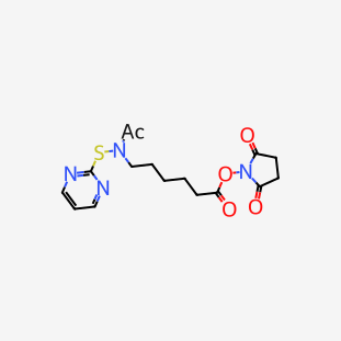 CC(=O)N(CCCCCC(=O)ON1C(=O)CCC1=O)Sc1ncccn1